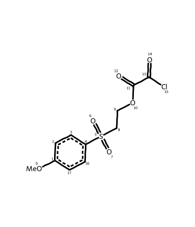 COc1ccc(S(=O)(=O)CCOC(=O)C(=O)Cl)cc1